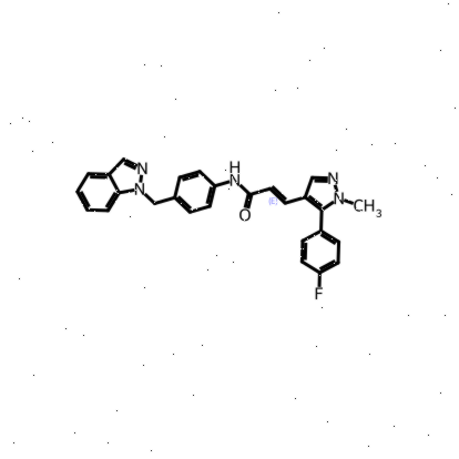 Cn1ncc(/C=C/C(=O)Nc2ccc(Cn3ncc4ccccc43)cc2)c1-c1ccc(F)cc1